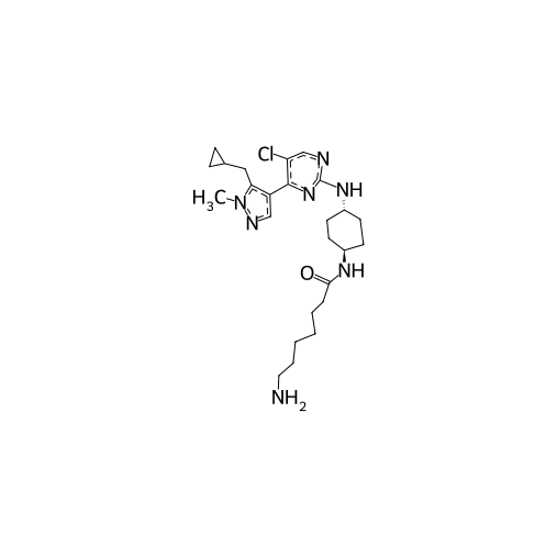 Cn1ncc(-c2nc(N[C@H]3CC[C@H](NC(=O)CCCCCCN)CC3)ncc2Cl)c1CC1CC1